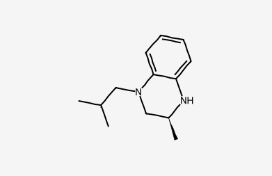 C[C](C)CN1C[C@H](C)Nc2ccccc21